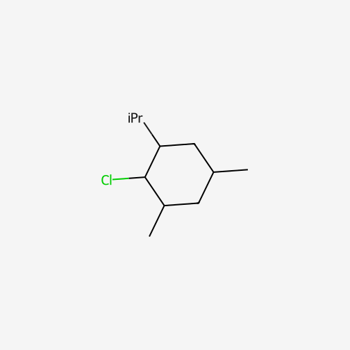 CC1CC(C)C(Cl)C(C(C)C)C1